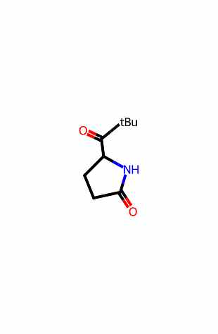 CC(C)(C)C(=O)C1CCC(=O)N1